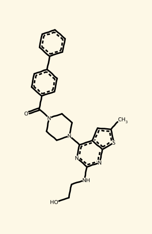 Cc1cc2c(N3CCN(C(=O)c4ccc(-c5ccccc5)cc4)CC3)nc(NCCO)nc2s1